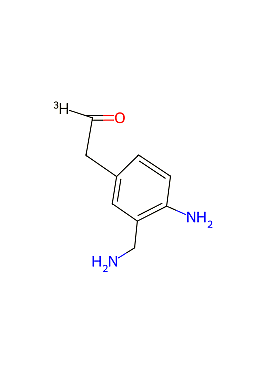 [3H]C(=O)Cc1ccc(N)c(CN)c1